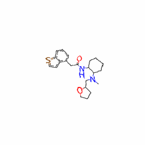 CN(CC1CCCO1)C1CCCCC1NC(=O)Cc1cccc2sccc12